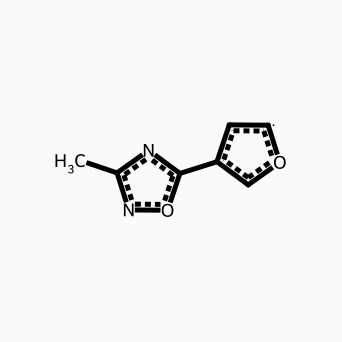 Cc1noc(-c2c[c]oc2)n1